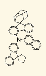 c1ccc2c(c1)-c1ccc(N(c3ccc4ccccc4c3)c3cccc4c3-c3ccccc3C43C4CC5CC(C4)CC3C5)cc1C21CCCC1